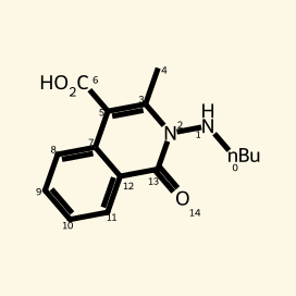 CCCCNn1c(C)c(C(=O)O)c2ccccc2c1=O